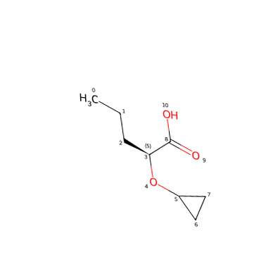 CCC[C@H](OC1CC1)C(=O)O